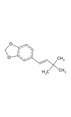 CC(C)(C)/C=C/c1ccc2c(c1)OCO2